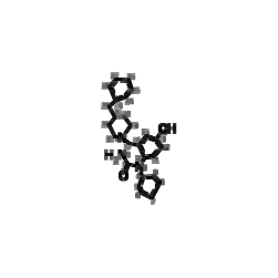 NC(=O)N(c1ccccc1)c1ccc(O)cc1CN1CCC(Cc2ccccc2)CC1